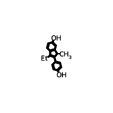 CCC1=C(c2ccc(O)cc2)[C@H](C)c2cc(O)ccc21